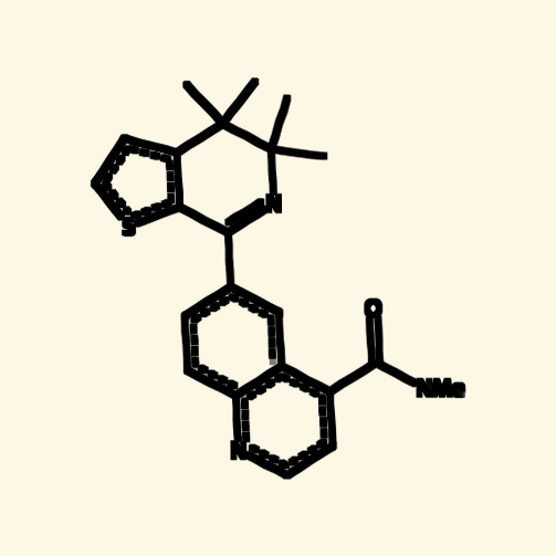 CNC(=O)c1ccnc2ccc(C3=NC(C)(C)C(C)(C)c4ccsc43)cc12